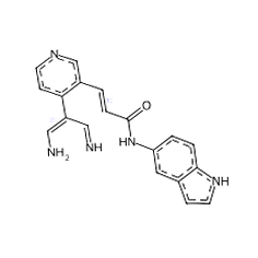 N=C/C(=C\N)c1ccncc1/C=C/C(=O)Nc1ccc2[nH]ccc2c1